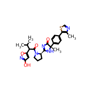 Cc1ncsc1-c1ccc([C@]2(C)NC([C@H]3CCCN3C(=O)C(c3cc(O)no3)C(C)C)=NC2=O)cc1